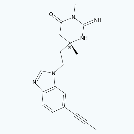 CC#Cc1ccc2ncn(CC[C@]3(C)CC(=O)N(C)C(=N)N3)c2c1